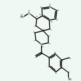 C=C(c1ccc(CC(C)C)c(C)c1)N1CCC2(CC1)Cc1ccncc1C(OC(C)C)C2